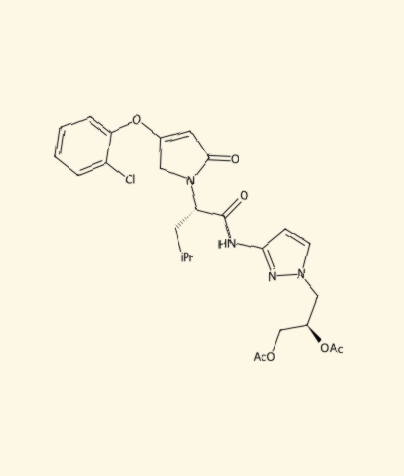 CC(=O)OC[C@@H](Cn1ccc(NC(=O)[C@H](CC(C)C)N2CC(Oc3ccccc3Cl)=CC2=O)n1)OC(C)=O